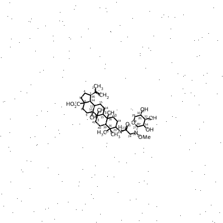 C=C(C)[C@@H]1CCC2(C(=O)O)CC[C@]3(C)C(CCC4C5(C)CCC(NC(=O)CN(OC)[C@@H]6OC[C@@H](O)C(O)C6O)C(C)(C)C5CCC43C)C12